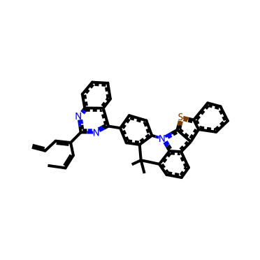 C=C/C=C(\C=C/C)c1nc(-c2ccc3c(c2)C(C)(C)c2cccc4c5c6ccccc6sc5n-3c24)c2ccccc2n1